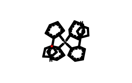 B1CCC(c2ccccc2[Si](c2ccccc2)(c2ccccc2)c2ccccc2C2CBCC2)C1